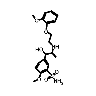 COc1ccccc1OCCNC(C)C(O)c1ccc(OC)c(S(N)(=O)=O)c1